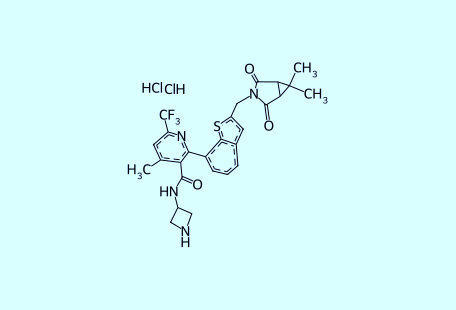 Cc1cc(C(F)(F)F)nc(-c2cccc3cc(CN4C(=O)C5C(C4=O)C5(C)C)sc23)c1C(=O)NC1CNC1.Cl.Cl